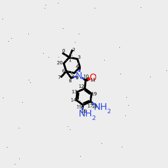 CC1(C)CC2CC(C)(CN2C(=O)c2ccc(N)c(N)c2)C1